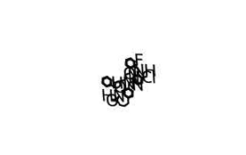 O=C1CCCc2ccc(Nc3ncc(Cl)c(Nc4c(F)cccc4OCCCOCc4ccccc4)n3)cc2N1